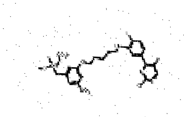 C[SH](O)(Cc1cc(OCCCCCNc2cc(-c3nc(Cl)ncc3F)ccc2F)cc([N+](=O)[O-])c1)=NC(=O)O